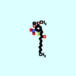 CCCCCCCCC(=O)c1cc2cc(OC)c(OC)c([N+](=O)[O-])c2s1